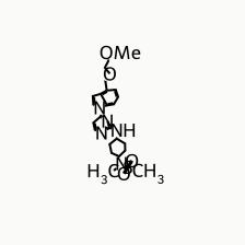 COCCOCc1cccc2c1ccn2-c1ccnc(N[C@H]2CC[C@H](N(C)S(C)(=O)=O)CC2)n1